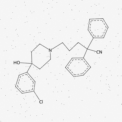 N#CC(CCCN1CCC(O)(c2cccc(Cl)c2)CC1)(c1ccccc1)c1ccccc1